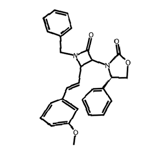 COc1cccc(/C=C/C2C(N3C(=O)OC[C@H]3c3ccccc3)C(=O)N2Cc2ccccc2)c1